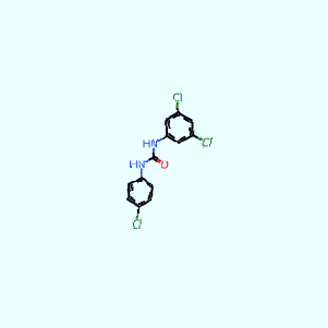 O=C(Nc1ccc(Cl)cc1)Nc1cc(Cl)cc(Cl)c1